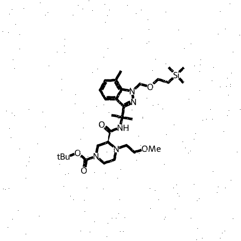 COCCN1CCN(C(=O)OC(C)(C)C)C[C@H]1C(=O)NC(C)(C)c1nn(COCC[Si](C)(C)C)c2c(C)cccc12